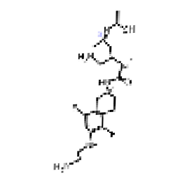 C=C(S)/N=C(/C)CC(CN)[C@H](C)C(=O)N[C@H]1CCc2c(F)c(NCCN)cc(F)c2C1